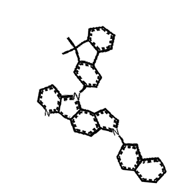 CC1(C)c2ccccc2-c2ccc(-n3c4cccnc4c4ccc5c(ccn5-c5ccc6ccccc6c5)c43)cc21